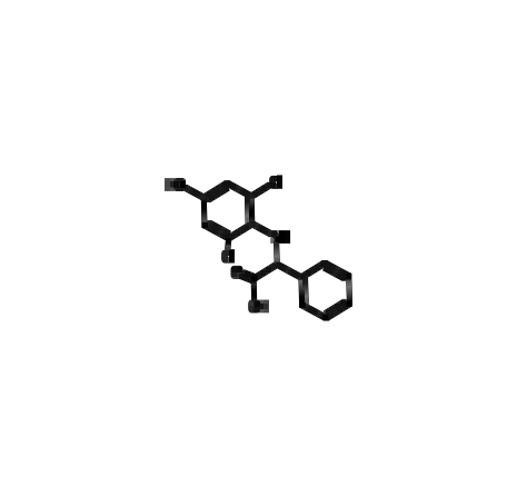 O=C(O)C(Nc1c(Cl)cc(O)cc1Cl)c1ccccc1